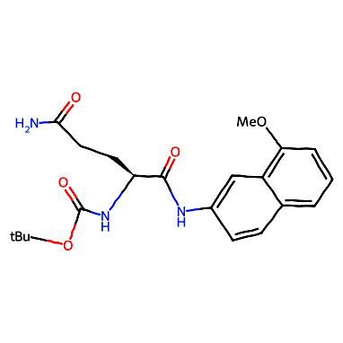 COc1cccc2ccc(NC(=O)[C@H](CCC(N)=O)NC(=O)OC(C)(C)C)cc12